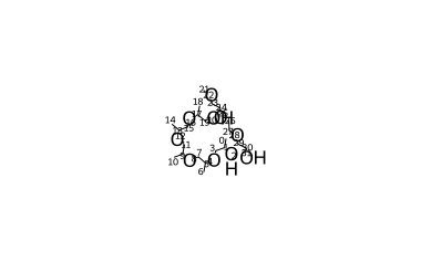 CC(O)COC(C)COC(C)COC(C)COC(C)CO.COCCOCCOCCO